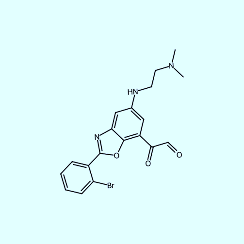 CN(C)CCNc1cc(C(=O)C=O)c2oc(-c3ccccc3Br)nc2c1